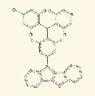 Clc1cc(Cl)c(C(c2c(Cl)cncc2Cl)c2c(Cl)cc(-n3c4ccccc4c4oc5ccccc5c43)cc2Cl)c(Cl)c1